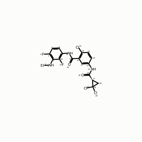 CCNc1c(F)ccc(NC(=O)c2cc(NC(=O)[C@H]3CC3(Cl)Cl)ccc2Cl)c1F